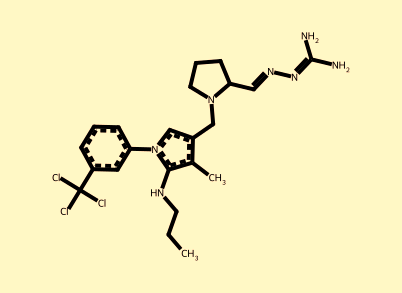 CCCNc1c(C)c(CN2CCCC2/C=N/N=C(N)N)cn1-c1cccc(C(Cl)(Cl)Cl)c1